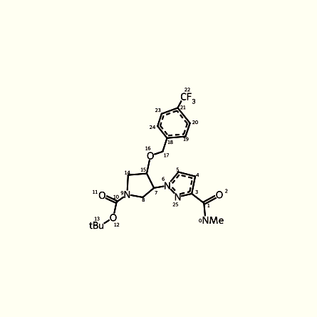 CNC(=O)c1ccn(C2CN(C(=O)OC(C)(C)C)CC2OCc2ccc(C(F)(F)F)cc2)n1